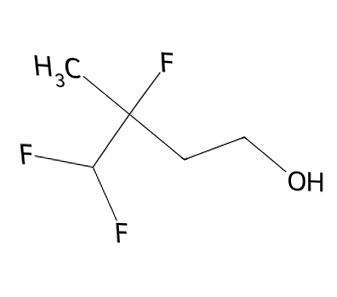 CC(F)(CCO)C(F)F